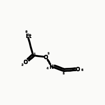 CCC(=O)ON=C=O